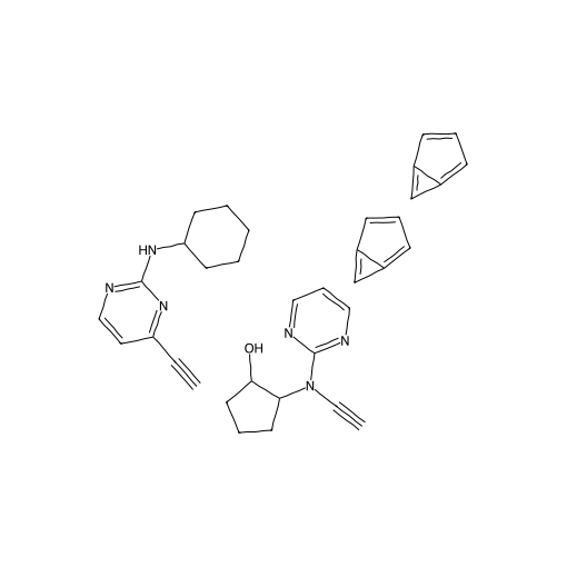 C#CN(c1ncccn1)C1CCCC1O.C#Cc1ccnc(NC2CCCCC2)n1.c1cc2cc-2c1.c1cc2cc-2c1